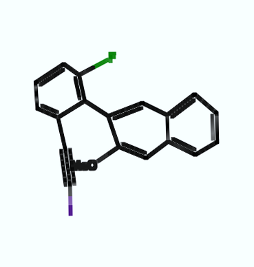 COc1cc2ccccc2cc1-c1c(F)cccc1C#CI